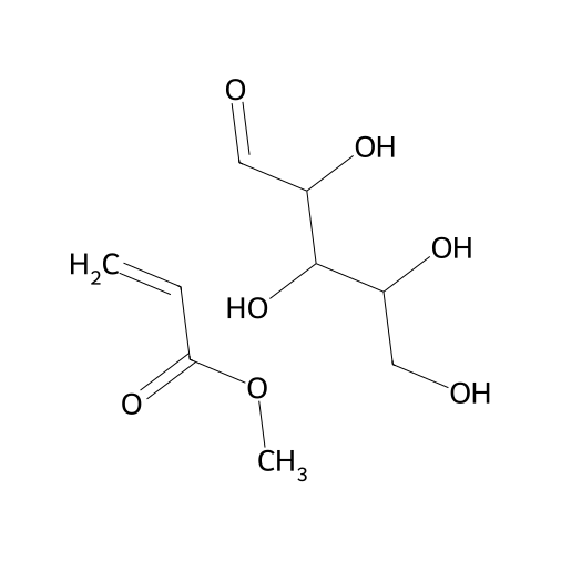 C=CC(=O)OC.O=CC(O)C(O)C(O)CO